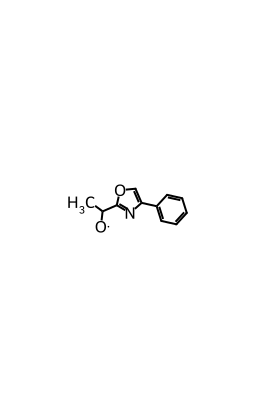 CC([O])c1nc(-c2ccccc2)co1